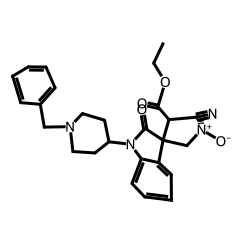 CCOC(=O)C(C#N)C1(C[N+](=O)[O-])C(=O)N(C2CCN(Cc3ccccc3)CC2)c2ccccc21